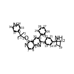 CC(C)(COc1nccc2nc(-c3ccc(C4(N)CCC4)cc3)c(-c3ccccc3)cc12)c1ccncc1